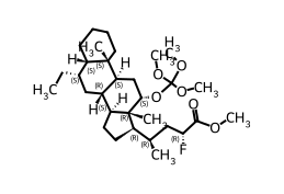 CC[C@H]1C[C@@H]2[C@H](C[C@H](OC(OC)(OC)OC)[C@]3(C)[C@@H]([C@H](C)C[C@@H](F)C(=O)OC)CC[C@@H]23)[C@@]2(C)CCCC[C@@H]12